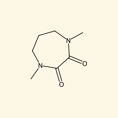 CN1CCCN(C)C(=O)C1=O